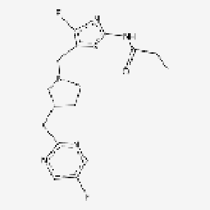 CCC(=O)Nc1nc(F)c(CN2CCC(Cc3ncc(F)cn3)C2)s1